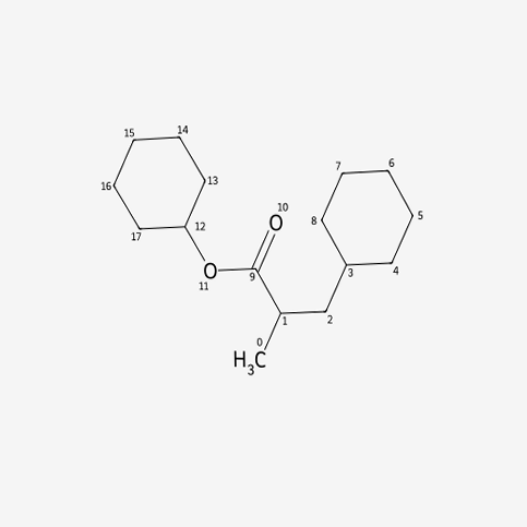 CC(CC1CCCCC1)C(=O)OC1CCCCC1